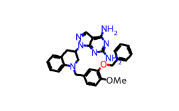 COc1ccc(CN2CC(n3ncc4c(N)nc(N)nc43)Cc3ccccc32)cc1OCc1ccccc1